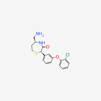 NC[C@@H]1CCS[C@H](c2cccc(Oc3ccccc3Cl)c2)C(=O)N1